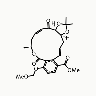 COCOc1ccc(C(=O)OC)c2c1C(=O)O[C@@H](C)C/C=C\C(=O)[C@H]1OC(C)(C)O[C@H]1C/C=C/2